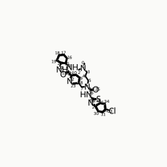 CN(C)CCCN(Cc1ccc(C(=O)Nc2ccccc2N)nc1)C(=O)Nc1nc2ccc(Cl)cc2s1